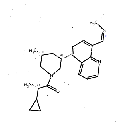 C/N=C\c1ccc([C@H]2C[C@@H](C)CN(C(=O)[C@@H](N)C3CC3)C2)c2cccnc12